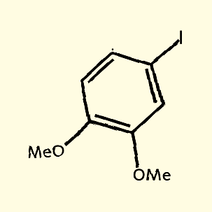 COc1c[c]c(I)cc1OC